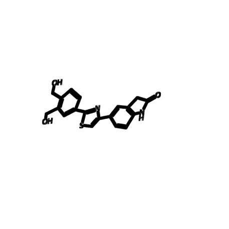 O=C1Cc2cc(-c3csc(-c4ccc(CO)c(CO)c4)n3)ccc2N1